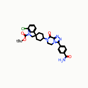 CC(C)(C)OC(=O)NCC1(c2cccc(Cl)c2)CCC(N2CCn3c(nnc3-c3ccc(C(N)=O)cc3)C2=O)CC1